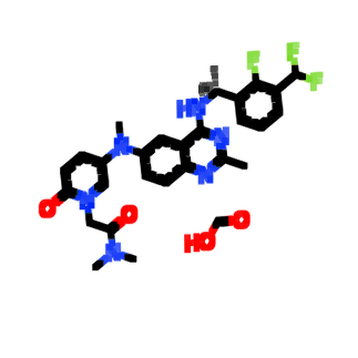 Cc1nc(N[C@H](C)c2cccc(C(F)F)c2F)c2cc(N(C)c3ccc(=O)n(CC(=O)N(C)C)c3)ccc2n1.O=CO